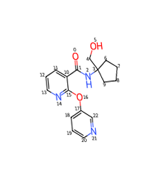 O=C(NC1(CO)CCCC1)c1cccnc1Oc1cccnc1